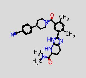 Cc1cc(C)c(-c2nc3c([nH]2)NC(C(=O)N(C)C)CC3)cc1C(=O)N1CCC(c2ccc(C#N)cc2)CC1